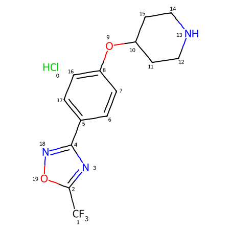 Cl.FC(F)(F)c1nc(-c2ccc(OC3CCNCC3)cc2)no1